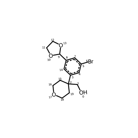 OCC1(c2cc(Br)cc(C3OCCO3)c2)CCOCC1